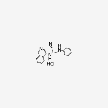 Cl.N#CC(CNc1ccccc1)Nc1cncc2ccccc12